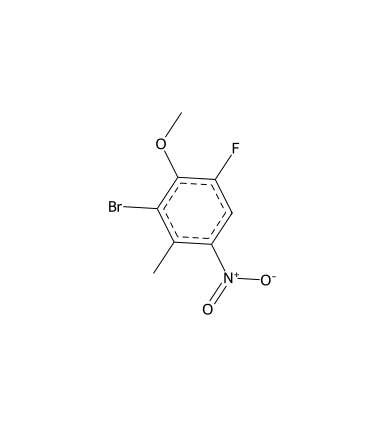 COc1c(F)cc([N+](=O)[O-])c(C)c1Br